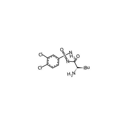 CC[C@H](C)[C@H](N)C(=O)N=S(N)(=O)c1ccc(Cl)c(Cl)c1